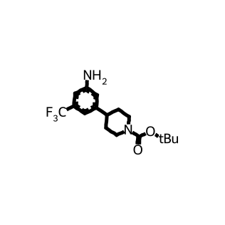 CC(C)(C)OC(=O)N1CCC(c2cc(N)cc(C(F)(F)F)c2)CC1